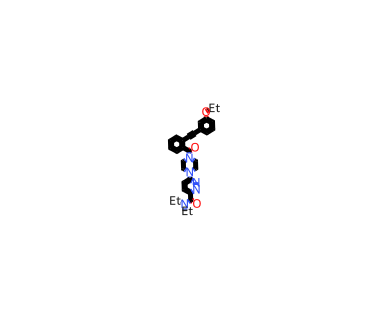 CCOc1cccc(C#Cc2ccccc2C(=O)N2CCN(c3ccc(C(=O)N(CC)CC)nn3)CC2)c1